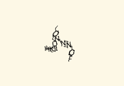 CCc1ccc2c(c1)CC(=O)N2CCN1CCN(Cc2ccc(F)cc2)CC1.Cl.Cl